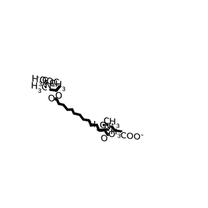 C[N+](C)(C)CC(CC(=O)[O-])OC(=O)C=CCCCCCCCCCCC(=O)OC(CC(=O)[O-])C[N+](C)(C)C